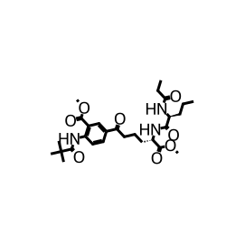 CCC[C@H](NC(=O)CC)C(=O)N[C@@H](CCCC(=O)c1ccc(NC(=O)C(C)(C)C)c(C(=O)OC)c1)C(=O)OC